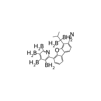 Bc1nc(-c2cccc3c2oc2c(C(B)(B)C(C)C)c(C#N)ccc23)c(B)c(B)c1B